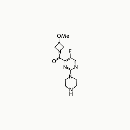 COC1CN(C(=O)c2nc(N3CCNCC3)ncc2F)C1